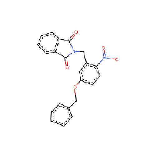 O=C1c2ccccc2C(=O)N1Cc1cc(OCc2ccccc2)ccc1[N+](=O)[O-]